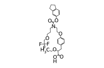 CCOC(Cc1ccc(OCCN(CCCOCC(F)(F)F)C(=O)Oc2ccc3c(c2)CCC3)cc1)C(=O)O